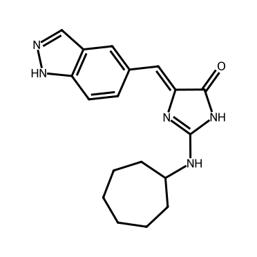 O=C1NC(NC2CCCCCC2)=N/C1=C\c1ccc2[nH]ncc2c1